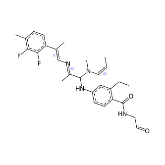 C/C=C\N(C)C(Nc1ccc(C(=O)NCC=O)c(CC)c1)/C(C)=N/C=C(\C)c1ccc(C)c(F)c1F